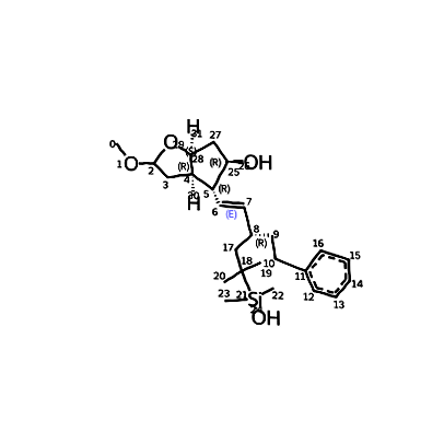 COC1C[C@@H]2[C@@H](/C=C/[C@H](CCc3ccccc3)CC(C)(C)[Si](C)(C)O)[C@H](O)C[C@@H]2O1